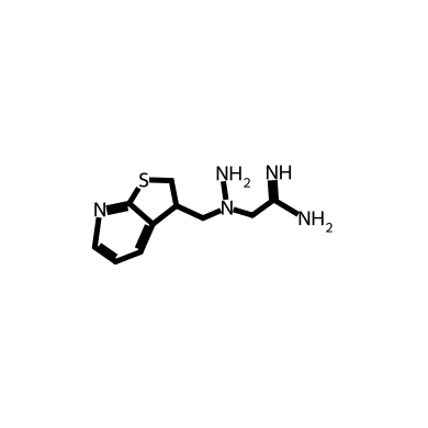 N=C(N)CN(N)CC1CSc2ncccc21